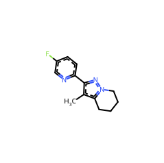 Cc1c(-c2ccc(F)cn2)nn2c1CCCC2